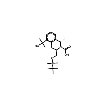 C[C@H]1c2cccc(C(C)(C)O)c2C[C@H](CO[Si](C)(C)C(C)(C)C)N1C(=O)O